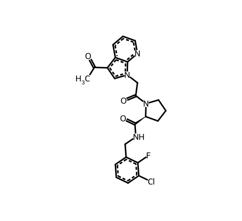 CC(=O)c1cn(CC(=O)N2CCC[C@H]2C(=O)NCc2cccc(Cl)c2F)c2ncccc12